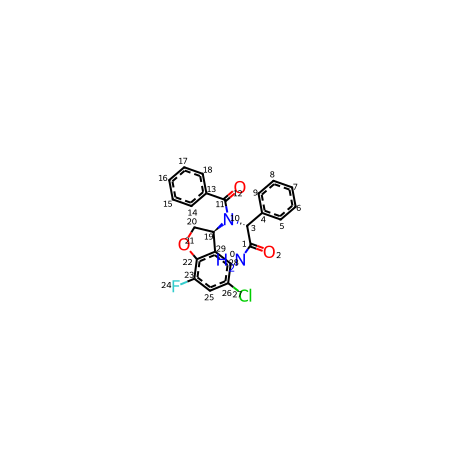 NC(=O)[C@@H](c1ccccc1)N(C(=O)c1ccccc1)[C@@H]1COc2c(F)cc(Cl)cc21